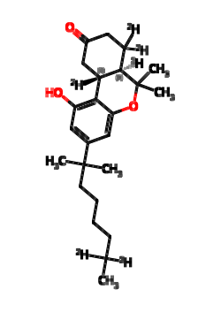 [2H]C([2H])(C)CCCCC(C)(C)c1cc(O)c2c(c1)OC(C)(C)[C@]1([2H])C([2H])([2H])CC(=O)C[C@@]21[2H]